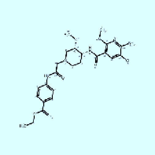 CCOC(=O)c1ccc(NC(=O)CN2CC[C@@H](NC(=O)c3cc(Cl)c(N)nc3OC)[C@@H](OC)C2)cc1